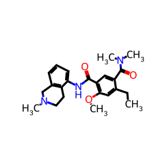 CCc1cc(OC)c(C(=O)Nc2cccc3c2CCN(C)C3)cc1C(=O)N(C)C